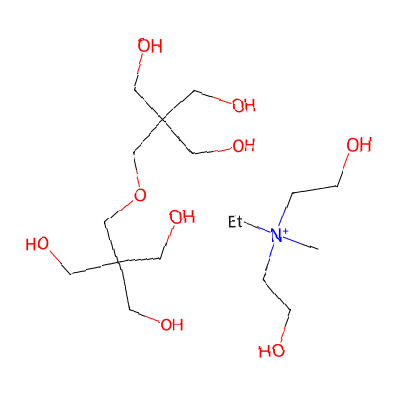 CC[N+](C)(CCO)CCO.OCC(CO)(CO)COCC(CO)(CO)CO